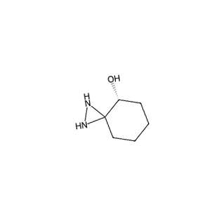 O[C@@H]1CCCCC12NN2